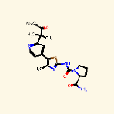 COC(=O)C(C)(C)c1cc(-c2sc(NC(=O)N3CCC[C@H]3C(N)=O)nc2C)ccn1